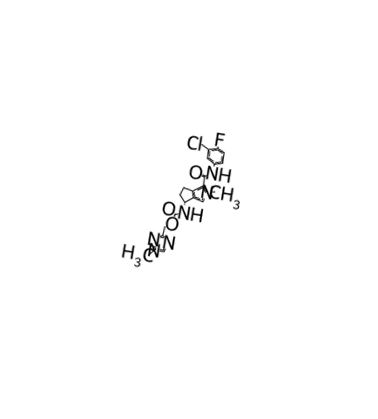 Cn1cnc(COC(=O)N[C@@H]2CCc3c2cn(C)c3C(=O)Nc2ccc(F)c(Cl)c2)n1